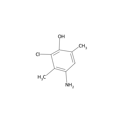 Cc1cc(N)c(C)c(Cl)c1O